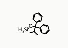 CC(C)C(O[SiH3])(c1ccccc1)c1ccccc1